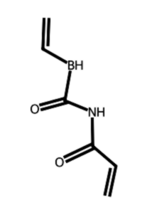 C=CBC(=O)NC(=O)C=C